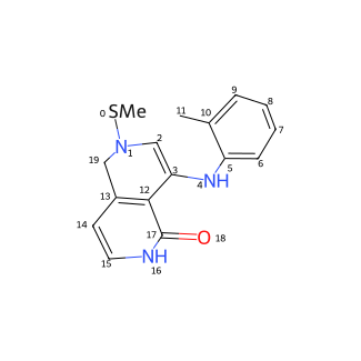 CSN1C=C(Nc2ccccc2C)c2c(cc[nH]c2=O)C1